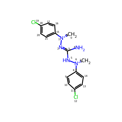 C=[N+](/N=C(\N)N[N+](=C)c1ccc(Cl)cc1)c1ccc(Cl)cc1